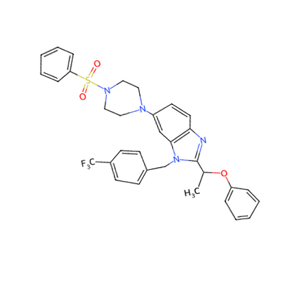 CC(Oc1ccccc1)c1nc2ccc(N3CCN(S(=O)(=O)c4ccccc4)CC3)cc2n1Cc1ccc(C(F)(F)F)cc1